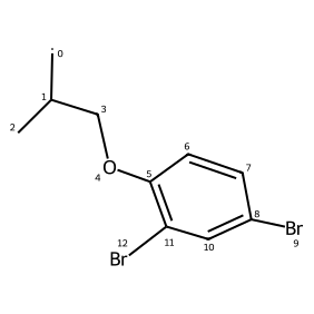 [CH2]C(C)COc1ccc(Br)cc1Br